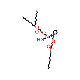 CCCCCCCCCCCOC(=O)CCOCCN(CCN(CCO)CCOCCC(=O)OCC(CCCCCCCC)CCCCCCCC)C1CCCCC1